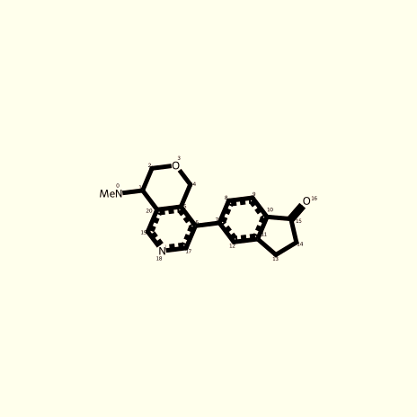 CNC1COCc2c(-c3ccc4c(c3)CCC4=O)cncc21